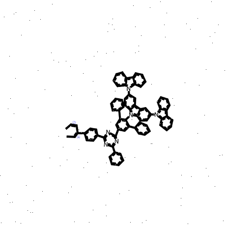 C/C=C\C(=C/C)c1ccc(-c2nc(-c3ccccc3)nc(-c3cc(-c4ccccc4)c(-n4c5ccc(-n6c7ccccc7c7ccccc76)cc5c5cc(-n6c7ccccc7c7ccccc76)ccc54)c(-c4ccccc4)c3)n2)cc1